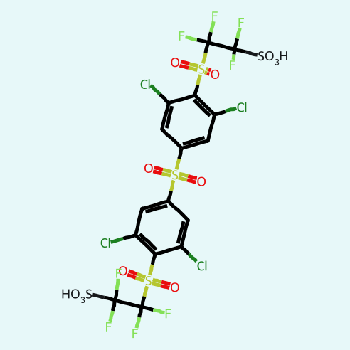 O=S(=O)(c1cc(Cl)c(S(=O)(=O)C(F)(F)C(F)(F)S(=O)(=O)O)c(Cl)c1)c1cc(Cl)c(S(=O)(=O)C(F)(F)C(F)(F)S(=O)(=O)O)c(Cl)c1